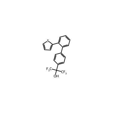 OC(c1ccc(-c2ccccc2-c2cccs2)cc1)(C(F)(F)F)C(F)(F)F